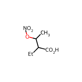 CCC(C(=O)O)C(C)O[N+](=O)[O-]